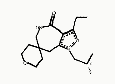 [CH2][C@@H](C)Cn1nc(CC)c2c1CC1(CCOCC1)CNC2=O